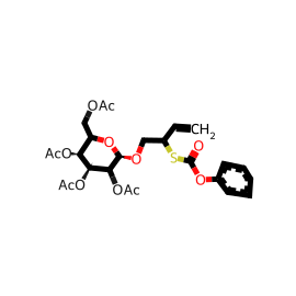 C=CC(CO[C@@H]1OC(COC(C)=O)[C@@H](OC(C)=O)[C@H](OC(C)=O)C1OC(C)=O)SC(=O)Oc1ccccc1